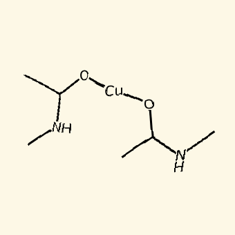 CNC(C)[O][Cu][O]C(C)NC